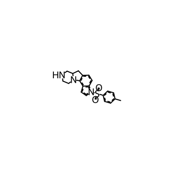 Cc1ccc(S(=O)(=O)n2ccc3c4c(ccc32)CC2CNCCN42)cc1